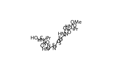 COC(=O)N[C@H](C(=O)N1CCCC1c1ncc(-c2cc3sc(-c4cnc(-c5c[nH]c([C@@H]6CCCN6C(=O)[C@@H](NC(=O)O)C(C)C)n5)s4)cc3s2)[nH]1)C(C)C